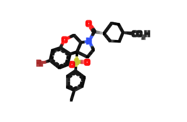 Cc1ccc(S(=O)(=O)C23CCN(C(=O)[C@H]4CC[C@H](C(=O)O)CC4)C2COc2cc(Br)ccc23)cc1